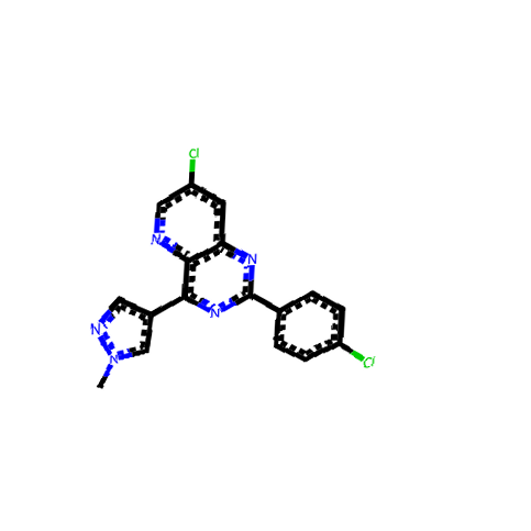 Cn1cc(-c2nc(-c3ccc(Cl)cc3)nc3cc(Cl)cnc23)cn1